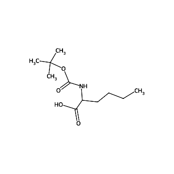 CCCCC(NC(=O)OC(C)(C)C)C(=O)O